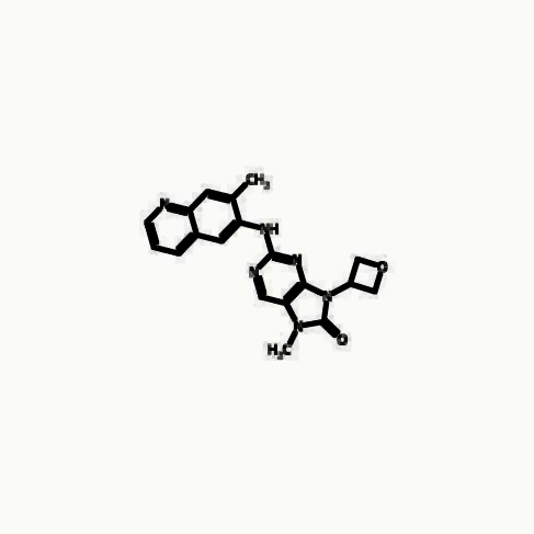 Cc1cc2ncccc2cc1Nc1ncc2c(n1)n(C1COC1)c(=O)n2C